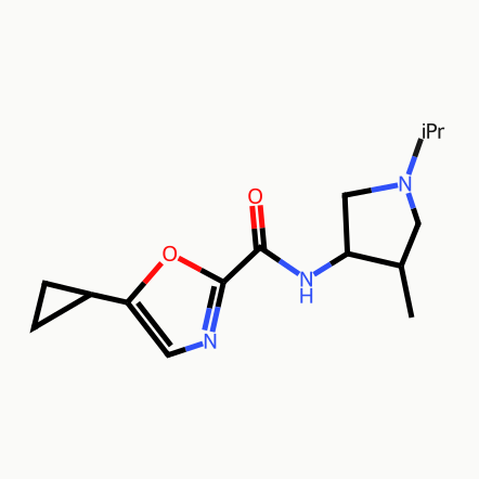 CC1CN(C(C)C)CC1NC(=O)c1ncc(C2CC2)o1